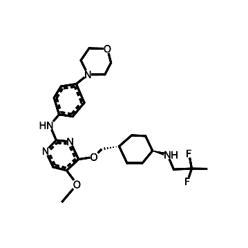 COc1cnc(Nc2ccc(N3CCOCC3)cc2)nc1OC[C@H]1CC[C@H](NCC(C)(F)F)CC1